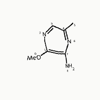 COc1n[c]c(C)nc1N